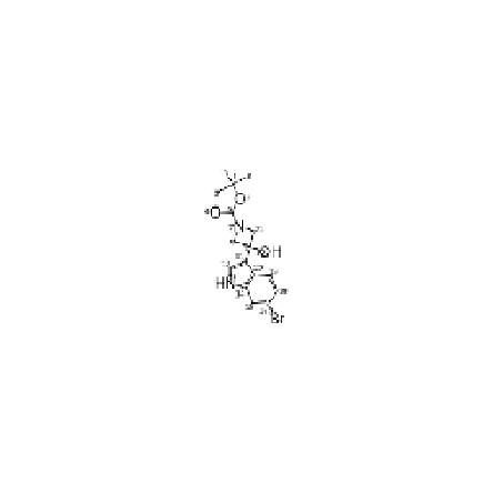 CC(C)(C)OC(=O)N1CC(O)(c2c[nH]c3cc(Br)ccc23)C1